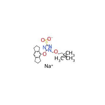 C[Si](C)(C)CCOCn1nc(S(=O)[O-])nc1Oc1c2c(cc3c1CCC3)CCC2.[Na+]